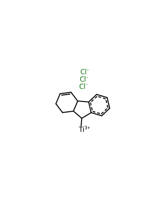 [Cl-].[Cl-].[Cl-].[Ti+3][CH]1c2ccccc2C2C=CCCC12